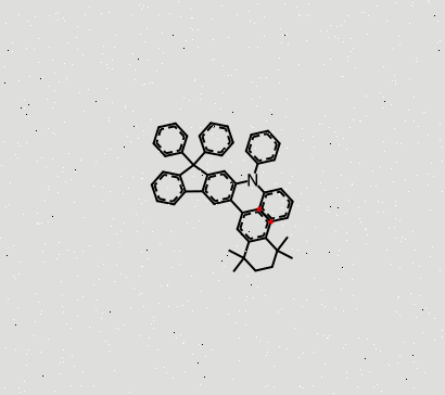 CC1(C)CCC(C)(C)c2cc(-c3cc4c(cc3N(c3ccccc3)c3ccccc3)C(c3ccccc3)(c3ccccc3)c3ccccc3-4)ccc21